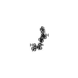 CC(=O)OCC[C@@H](CC(=O)O)N(C(C)=O)c1ccc(CCS(=O)(=O)N2CCC3(CC2)N=C(c2ccc(C(F)(F)F)cc2)NC3=O)c(C)c1